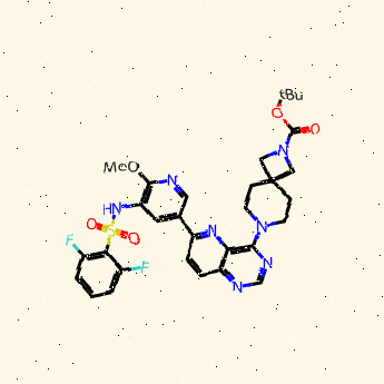 COc1ncc(-c2ccc3ncnc(N4CCC5(CC4)CN(C(=O)OC(C)(C)C)C5)c3n2)cc1NS(=O)(=O)c1c(F)cccc1F